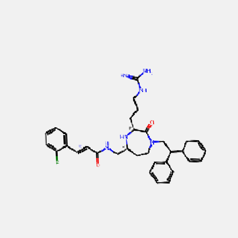 N=C(N)NCCC[C@@H]1N[C@H](CNC(=O)/C=C/c2ccccc2F)CCN(CC(c2ccccc2)C2C=CC=CC2)C1=O